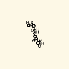 Cc1ccc(NC(=O)NCc2cc3c(s2)C(=O)N(C2CCC(=O)NC2=O)C3)cc1N1CCCC1